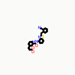 N#Cc1ccccc1Cc1nc2c(NC(=O)c3cccc4ccc(=O)oc34)cccc2s1